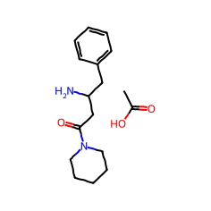 CC(=O)O.NC(CC(=O)N1CCCCC1)Cc1ccccc1